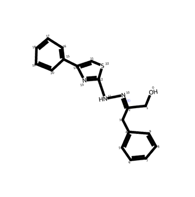 OC/C(Cc1ccccc1)=N/Nc1nc(-c2ccccc2)cs1